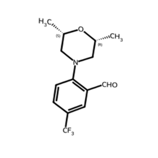 C[C@@H]1CN(c2ccc(C(F)(F)F)cc2C=O)C[C@H](C)O1